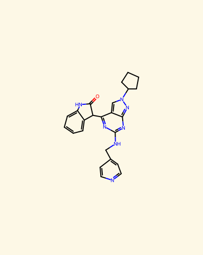 O=C1Nc2ccccc2C1c1nc(NCc2ccncc2)nc2nn(C3CCCC3)cc12